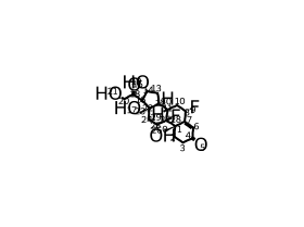 C[C@]12CCC(=O)C=C1[C@@H](F)C[C@H]1[C@@H]3C[C@@H](O)[C@](O)(C(=O)CO)[C@@]3(C)C[C@H](O)C12F